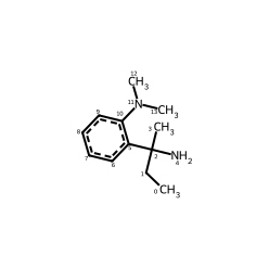 CCC(C)(N)c1ccccc1N(C)C